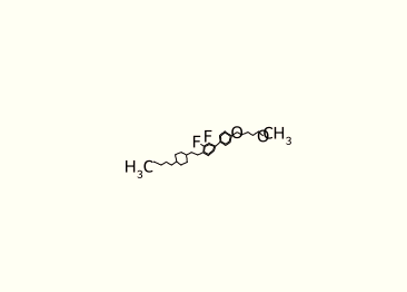 CCCCCC1CCC(CCc2ccc(-c3ccc(OCCCCOC)cc3)c(F)c2F)CC1